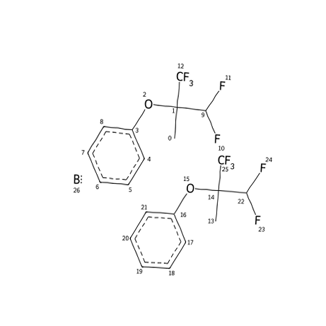 CC(Oc1ccccc1)(C(F)F)C(F)(F)F.CC(Oc1ccccc1)(C(F)F)C(F)(F)F.[B]